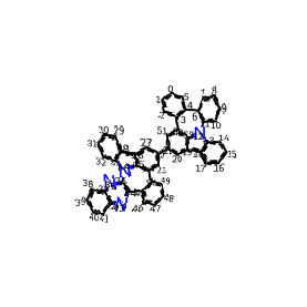 c1ccc2c(c1)-c1ccccc1-n1c3ccccc3c3cc(-c4cc5c6c(c4)c4ccccc4n6-c4nc6ccccc6nc4-c4ccccc4-5)cc-2c31